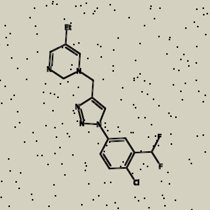 CCC1=CN(Cc2cn(-c3ccc(Cl)c(C(F)F)c3)nn2)CN=C1